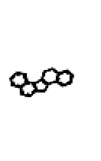 c1ccc2c(c1)CCC1=C2Cc2ccc3ccccc3c21